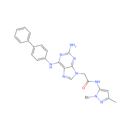 CCn1nc(C)cc1NC(=O)Cn1cnc2c(Nc3ccc(-c4ccccc4)cc3)nc(N)nc21